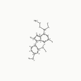 CCN(CC[18F])c1cc(C)nc2c(-c3ccc(OC)cc3OC)c(C)nn12